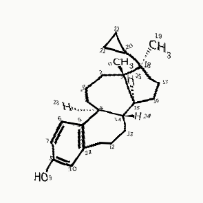 C[C@]12CC[C@@H]3c4ccc(O)cc4CC[C@H]3[C@@H]1CC[C@]2(C)C1CC1